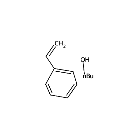 C=Cc1ccccc1.[CH2]CCCO